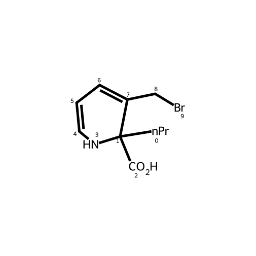 CCCC1(C(=O)O)NC=CC=C1CBr